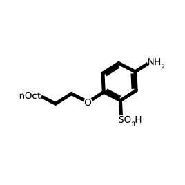 CCCCCCCCCCOc1ccc(N)cc1S(=O)(=O)O